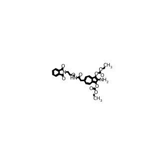 CCOC(=O)Oc1c2ccc(CC(=O)NOCCN3C(=O)c4ccccc4C3=O)ccc-2c(OC(=O)OCC)c1N